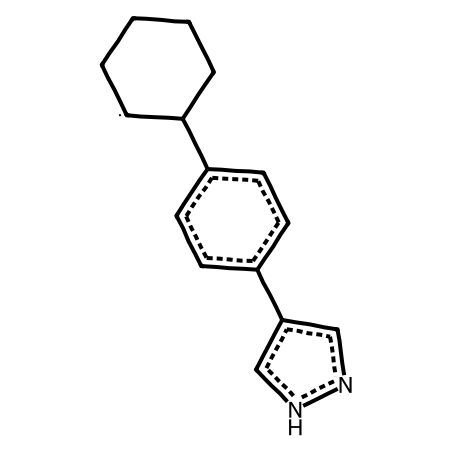 [CH]1CCCCC1c1ccc(-c2cn[nH]c2)cc1